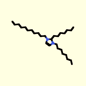 CCCCCCCCCCCN1C=CN(CCCCCCCC)C1CCCCCCC